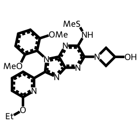 CCOc1cccc(-c2nc3nc(N4CC(O)C4)c(NSC)nc3n2-c2c(OC)cccc2OC)n1